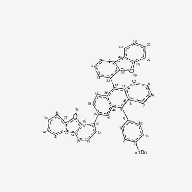 CC(C)(C)c1ccc(-c2c3ccccc3c(-c3cccc4c3oc3ccccc34)c3ccc(-c4cccc5c4oc4ccccc45)cc23)cc1